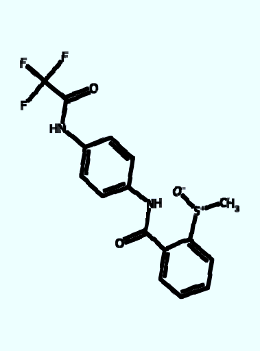 C[S+]([O-])c1ccccc1C(=O)Nc1ccc(NC(=O)C(F)(F)F)cc1